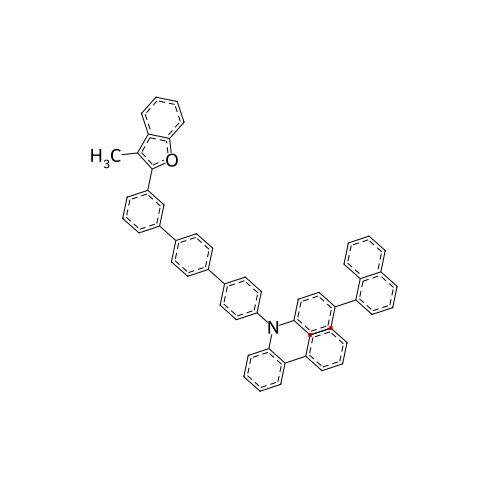 Cc1c(-c2cccc(-c3ccc(-c4ccc(N(c5ccc(-c6cccc7ccccc67)cc5)c5ccccc5-c5ccccc5)cc4)cc3)c2)oc2ccccc12